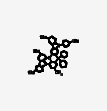 Cc1cc2c3c(c1)C(c1ccccc1)(c1ccccc1)c1cc4c(cc1B3c1cc(C(C)(C)C)cc3c5cc(C(C)(C)C)ccc5n-2c13)c1cc(C(C)(C)C)ccc1n4-c1ccc(C(C)(C)C)cc1